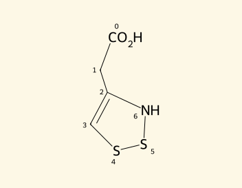 O=C(O)CC1=CSSN1